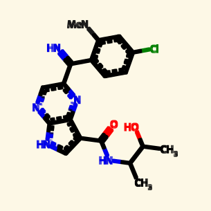 CNc1cc(Cl)ccc1C(=N)c1cnc2[nH]cc(C(=O)NC(C)C(C)O)c2n1